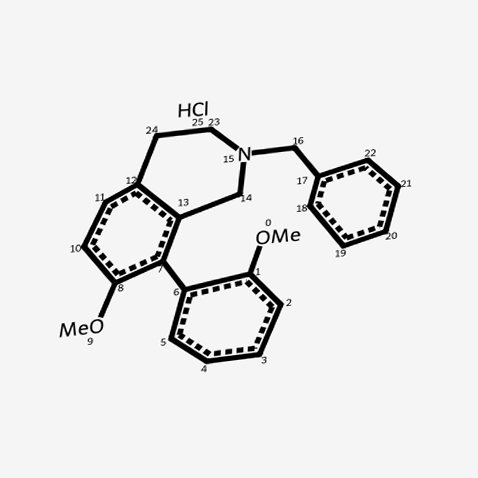 COc1ccccc1-c1c(OC)ccc2c1CN(Cc1ccccc1)CC2.Cl